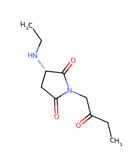 CCN[C@H]1CC(=O)N(CC(=O)CC)C1=O